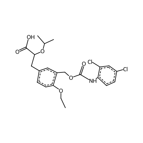 CCOc1ccc(CC(OC(C)C)C(=O)O)cc1COC(=O)Nc1ccc(Cl)cc1Cl